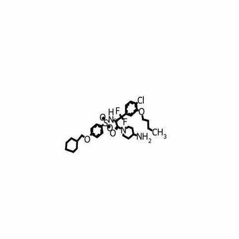 CCCCOc1cc(C(F)(F)[C@H](NS(=O)(=O)c2ccc(OCC3CCCCC3)cc2)C(=O)N2CCC(N)CC2)ccc1Cl